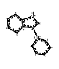 c1cc[n+](-c2c[nH]c3ccccc23)cc1